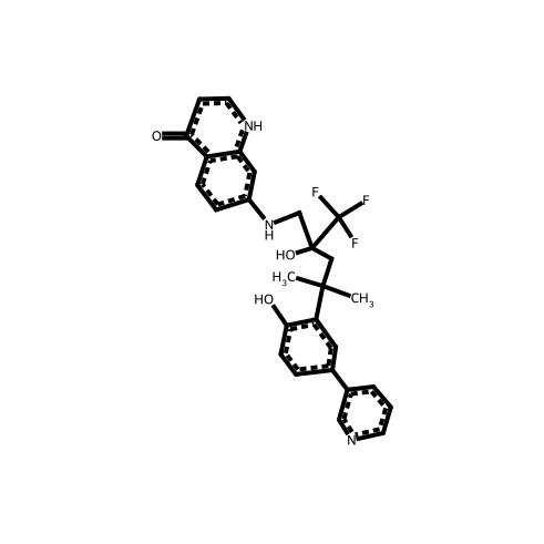 CC(C)(CC(O)(CNc1ccc2c(=O)cc[nH]c2c1)C(F)(F)F)c1cc(-c2cccnc2)ccc1O